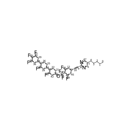 CCCCCc1cnc(C#Cc2cc(F)c(C(F)(F)Oc3ccc(-c4ccc(-c5cc(F)c(F)c(F)c5)c(F)c4)c(F)c3)c(F)c2)nc1